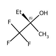 CC[C@](C)(O)C(F)(F)F